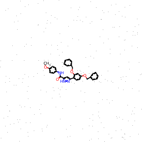 COc1ccc(NC(=O)c2cc(-c3ccc(OCc4ccccc4)cc3OCc3ccccc3)n[nH]2)cc1